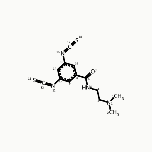 CN(C)CCNC(=O)c1cc(N=C=S)cc(N=C=S)c1